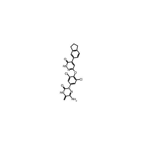 C=C1NC(=O)N(c2cc(Cl)c(Oc3cc(-c4ccc5c(c4)CCC5)c(=O)[nH]n3)c(Cl)c2)N=C1N